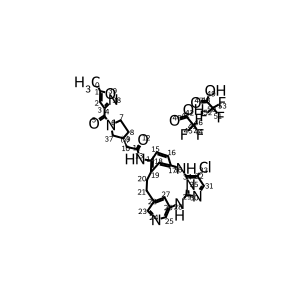 Cc1cc(C(=O)N2CC[C@@H](CC(=O)Nc3ccc4cc3CCc3cncc(c3)Nc3ncc(Cl)c(n3)N4)C2)no1.O=C(O)C(F)(F)F.O=C(O)C(F)(F)F